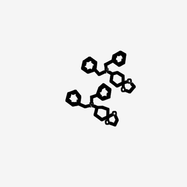 c1ccc(CN(Cc2ccccc2)C2CCC3(CC2)OCCO3)cc1.c1ccc(CN(Cc2ccccc2)C2CCC3(CC2)OCCO3)cc1